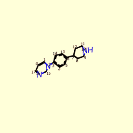 C1=CN(c2ccc(C3CCNCC3)cc2)CN=C1